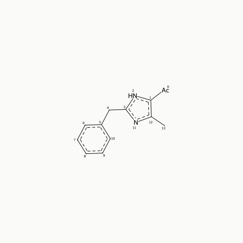 CC(=O)c1[nH]c(Cc2ccccc2)nc1C